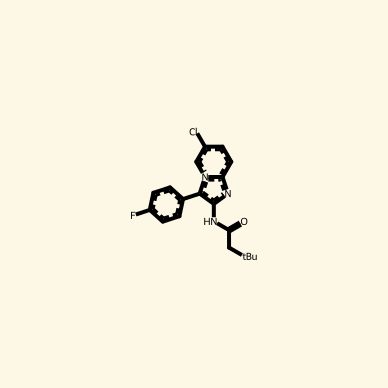 CC(C)(C)CC(=O)Nc1nc2ccc(Cl)cn2c1-c1ccc(F)cc1